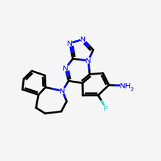 Nc1cc2c(cc1F)c(N1CCCCc3ccccc31)nc1nncn12